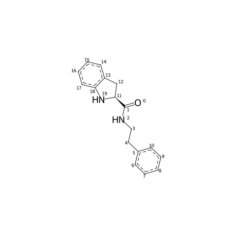 O=C(NCCc1ccccc1)[C@@H]1Cc2ccccc2N1